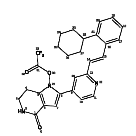 O=C1NCCc2c1cc(-c1ccnc(C=Cc3ccccc3C3CCCCC3)c1)n2OC(=O)C(F)(F)F